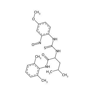 COc1ccc(NC(=S)NC(CC(C)C)C(=O)Nc2c(C)cccc2C)c(N=O)c1